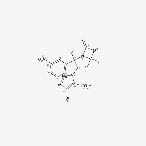 C=C1OC(C)(C)N1C(C)(Cn1ncc(Br)c1C(=O)O)c1cccc([N+](=O)[O-])c1